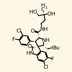 CC(C)(C)C[C@H]1N[C@@H](C(=O)NCC[C@](C)(O)CO)[C@H](c2ccc(F)c(Cl)c2)[C@@]12C(=O)Nc1cc(Cl)c(F)cc12